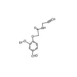 C#CCNC(=O)COc1ccc(C=O)cc1OCC